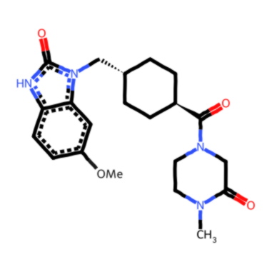 COc1ccc2[nH]c(=O)n(C[C@H]3CC[C@H](C(=O)N4CCN(C)C(=O)C4)CC3)c2c1